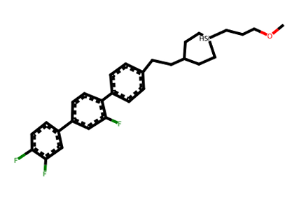 COCCC[SiH]1CCC(CCc2ccc(-c3ccc(-c4ccc(F)c(F)c4)cc3F)cc2)CC1